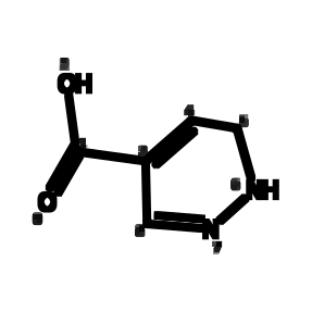 O=C(O)C1=CCNN=C1